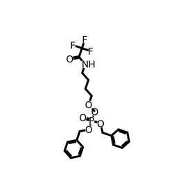 O=C(NCCCCOOP(=O)(OCc1ccccc1)OCc1ccccc1)C(F)(F)F